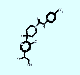 CCC(CO)c1cnc(C2(F)CCN(C(=O)Nc3ccc(C(F)(F)F)cc3)CC2)c(Cl)c1